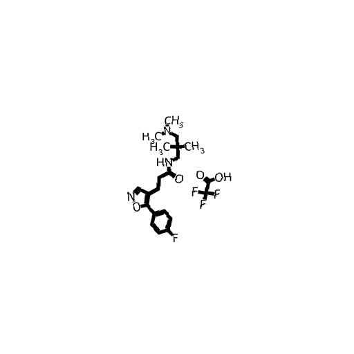 CN(C)CC(C)(C)CNC(=O)CCc1cnoc1-c1ccc(F)cc1.O=C(O)C(F)(F)F